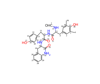 Cc1cc(CC(NC=O)C(=O)NC(Cc2ccc(O)cc2)C(=O)NC(Cc2ccccc2)C(N)=O)cc(C)c1O